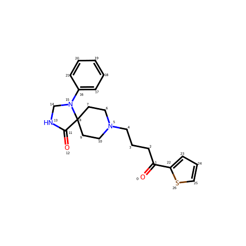 O=C(CCCN1CCC2(CC1)C(=O)NCN2c1ccccc1)c1cccs1